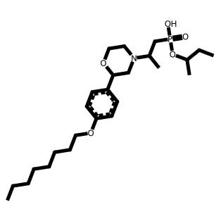 CCCCCCCCOc1ccc(C2CN(C(C)CP(=O)(O)OC(C)CC)CCO2)cc1